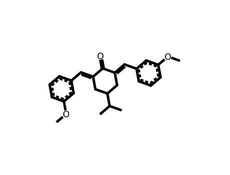 COc1cccc(/C=C2\CC(C(C)C)C/C(=C\c3cccc(OC)c3)C2=O)c1